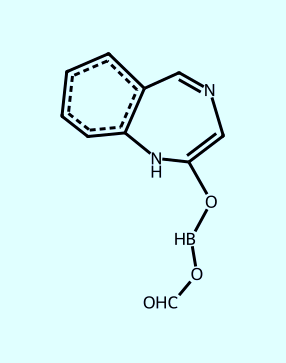 O=COBOC1=CN=Cc2ccccc2N1